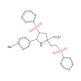 CCOC(=O)C1(CCS(=O)(=O)c2ccccc2)CC(S(=O)(=O)c2ccccc2)C(c2ccc(C(C)(C)C)cc2)N1